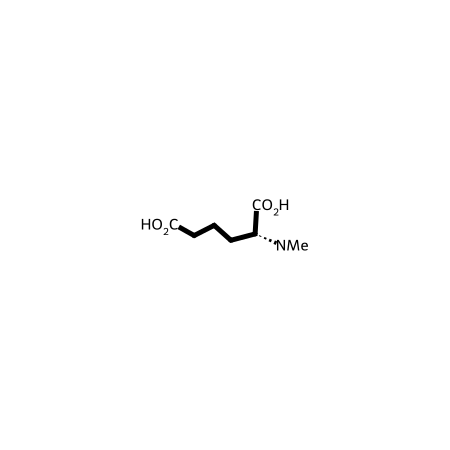 CN[C@H](CCCC(=O)O)C(=O)O